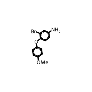 COc1ccc(Oc2ccc(N)cc2Br)cc1